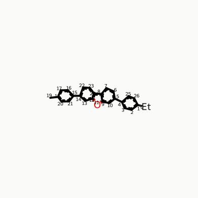 CCc1ccc(-c2ccc3c(c2)oc2cc(-c4ccc(C)cc4)ccc23)cc1